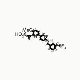 COc1ccc(-c2ccc(NCc3cccc(OC(F)(F)F)c3)nc2)nc1[C@H]1C[C@@H]1C(=O)O